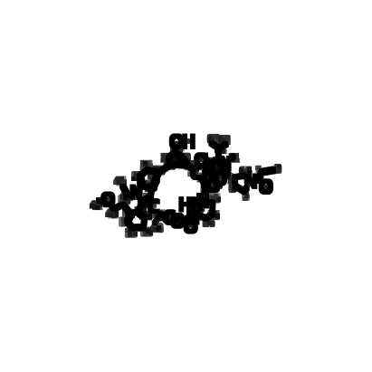 C=CC(=O)N1CC[C@H](C(=O)N(C)C(C(=O)N[C@H]2Cc3cc(O)cc(c3)-c3ccc4c(c3)c(c(-c3ccccc3CCOC)n4CC)C[C@H](C)COC(=O)[C@@H]3CCCN(N3)C2=O)C(C)C)C1